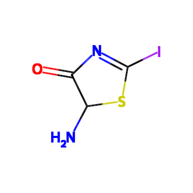 NC1SC(I)=NC1=O